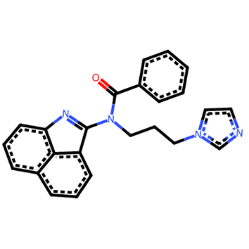 O=C(c1ccccc1)N(CCCn1ccnc1)C1=Nc2cccc3cccc1c23